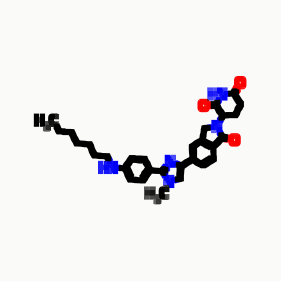 CCCCCCCNc1ccc(-c2nc(-c3ccc4c(c3)CN(C3CCC(=O)NC3=O)C4=O)cn2C)cc1